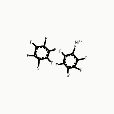 Fc1c(F)c(F)c([S-])c(F)c1F.Fc1c(F)c(F)c([S-])c(F)c1F.[Ni+2]